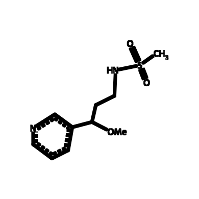 CO[C](CCNS(C)(=O)=O)c1cccnc1